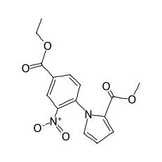 CCOC(=O)c1ccc(-n2cccc2C(=O)OC)c([N+](=O)[O-])c1